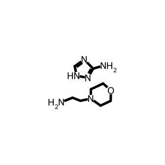 NCCN1CCOCC1.Nc1nc[nH]n1